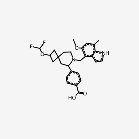 COc1cc(C)c2[nH]ccc2c1CN1CCC2(CC(OC(F)F)C2)CC1c1ccc(C(=O)O)cc1